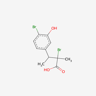 CC(c1ccc(Br)c(O)c1)C(C)(Br)C(=O)O